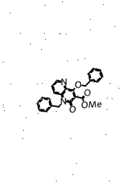 COC(=O)c1c(OCc2ccccc2)c2ncccc2n(Cc2ccccc2)c1=O